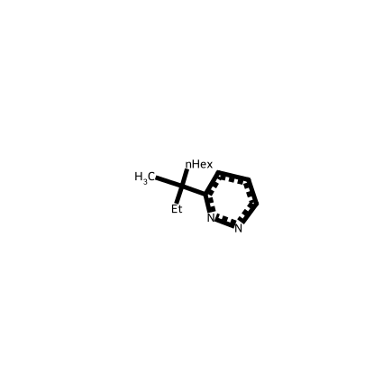 CCCCCCC(C)(CC)c1cccnn1